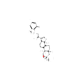 COC[C@]12CC[C@@](C)(O)C[C@@H]1CC[C@H]1[C@@H]3CC[C@H](C(=O)Cn4nnc5cc(F)cc(F)c54)[C@@]3(C)CC[C@@H]12